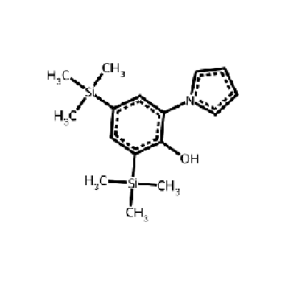 C[Si](C)(C)c1cc(-n2cccc2)c(O)c([Si](C)(C)C)c1